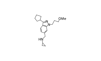 COCCCn1nc(C2CCCC2)c2ccc(CNC3CC3)cc21